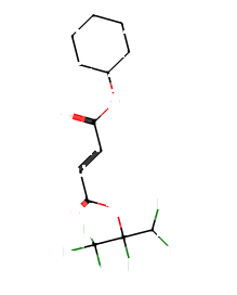 O=C(C=CC(=O)OC(F)(C(F)F)C(F)(F)F)OC1CCCCC1